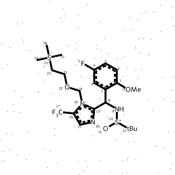 COc1ccc(F)cc1C(N[S+]([O-])C(C)(C)C)c1ncc(C(F)(F)F)n1COCCS(C)(C)C